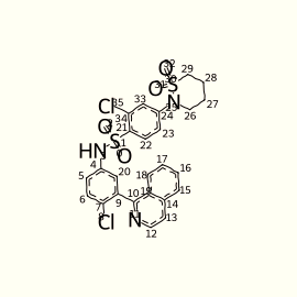 O=S(=O)(Nc1ccc(Cl)c(-c2nccc3ccccc23)c1)c1ccc(N2CCCCS2(=O)=O)cc1Cl